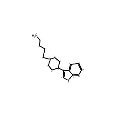 NCCCCN1CCC(c2csc3ccccc23)CC1